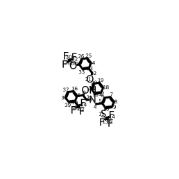 OC(CN(Cc1ccccc1SC(F)(F)F)c1cccc(OCc2cccc(OC(F)(F)F)c2)c1)c1ccccc1C(F)(F)F